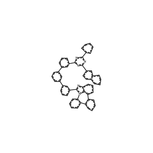 c1ccc(-c2nc(-c3cccc(-c4cccc(-c5cccc(-c6nc7cccc8c7n6-c6ccccc6-c6ccccc6-8)c5)c4)c3)nc(-c3ccc4ccccc4c3)n2)cc1